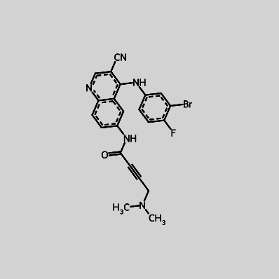 CN(C)CC#CC(=O)Nc1ccc2ncc(C#N)c(Nc3ccc(F)c(Br)c3)c2c1